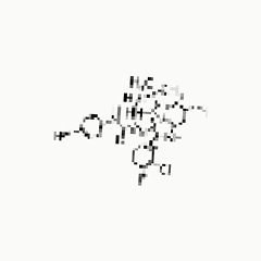 CC(C)(C)C[C@@H]1N[C@@H](C(=O)Nc2ccc(C#N)cc2)[C@H](c2ccc(F)c(Cl)c2)[C@]12C(=O)Nc1cc(CI)ccc12